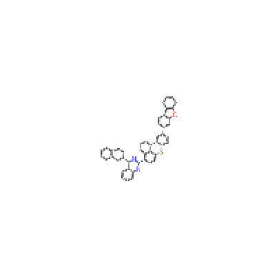 c1ccc2cc(-c3nc(-c4ccc5c6c(cccc46)-c4cc(-c6ccc7c(c6)oc6ccccc67)ccc4S5)nc4ccccc34)ccc2c1